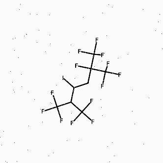 FC(F)(F)C(C(I)CC(F)(C(F)(F)F)C(F)(F)F)C(F)(F)F